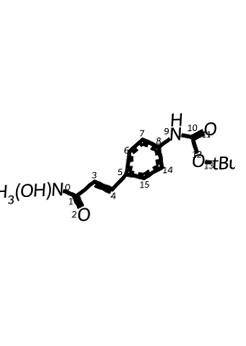 CN(O)C(=O)C=Cc1ccc(NC(=O)OC(C)(C)C)cc1